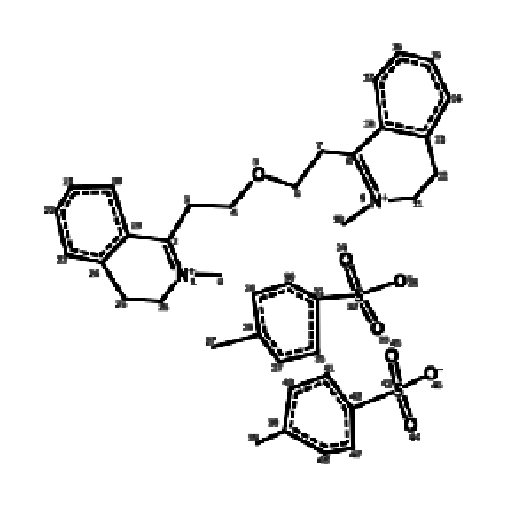 C[N+]1=C(CCOCCC2=[N+](C)CCc3ccccc32)c2ccccc2CC1.Cc1ccc(S(=O)(=O)[O-])cc1.Cc1ccc(S(=O)(=O)[O-])cc1